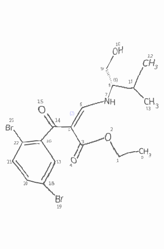 CCOC(=O)/C(=C\N[C@H](CO)C(C)C)C(=O)c1cc(Br)ccc1Br